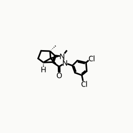 Cn1c2c(c(=O)n1-c1cc(Cl)cc(Cl)c1)[C@H]1CC[C@]2(C)C1(C)C